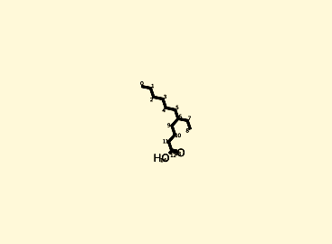 CCCCCCC(CC)CCCC(=O)O